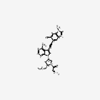 C=CC(=O)N1C[C@@H](n2cc(C#Cc3cc4ncn(C)c4cc3Cl)c3c(N)ncnc32)C[C@@H]1COC